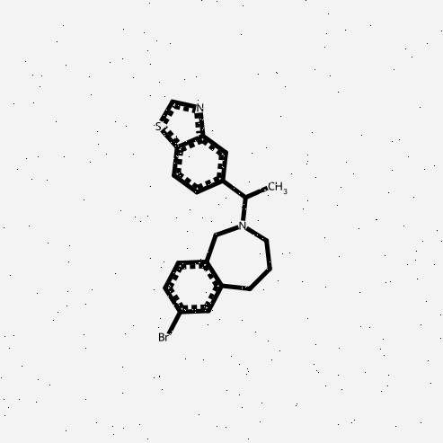 CC(c1ccc2scnc2c1)N1CCCc2cc(Br)ccc2C1